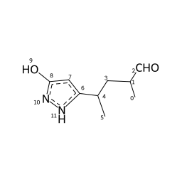 CC(C=O)CC(C)c1cc(O)n[nH]1